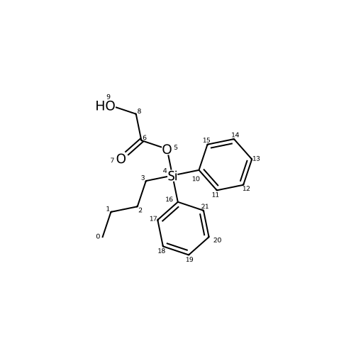 CCCC[Si](OC(=O)CO)(c1ccccc1)c1ccccc1